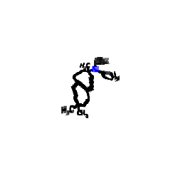 CCC(C)N(C)C1(C)C=CC2=C(C=CC(C)(C)C=C2)C=C1